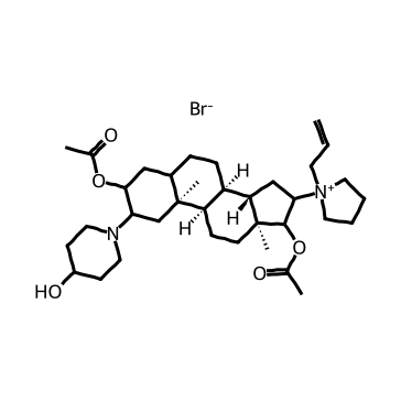 C=CC[N+]1(C2C[C@H]3[C@@H]4CCC5CC(OC(C)=O)C(N6CCC(O)CC6)C[C@]5(C)[C@@H]4CC[C@]3(C)C2OC(C)=O)CCCC1.[Br-]